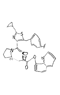 O=C(NC[C@@H]1CCCN1C(=O)c1nc(C2CC2)sc1-c1ccc(F)cc1)Oc1cccc2cccnc12